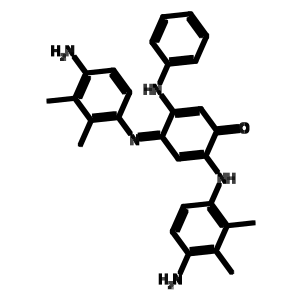 Cc1c(N)ccc(N=C2C=C(Nc3ccc(N)c(C)c3C)C(=O)C=C2Nc2ccccc2)c1C